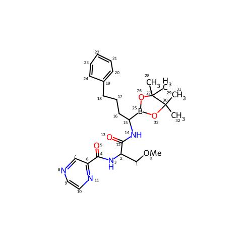 COCC(NC(=O)c1cnccn1)C(=O)NC(CCCc1ccccc1)B1OC(C)(C)C(C)(C)O1